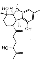 C=C(C)C(O)CCC(=C)[C@@H]1CC[C@](C)(O)[C@H]2Oc3cc(C)cc(O)c3[C@@H]12